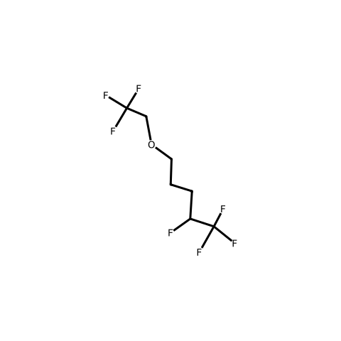 FC(CCCOCC(F)(F)F)C(F)(F)F